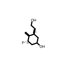 C=C1/C(=C\CO)CC(O)C[C@@H]1F